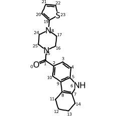 O=C(c1ccc2[nH]c3c(c2c1)CCCC3)N1CCN(c2cccs2)CC1